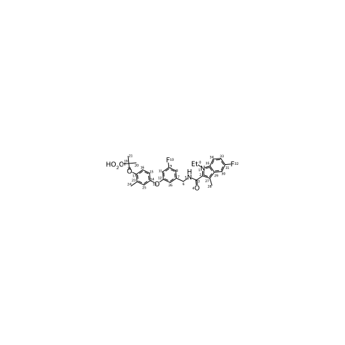 CCn1c(C(=O)NCc2cc(F)cc(Oc3ccc(OC(C)(C)C(=O)O)c(C)c3)c2)c(C)c2cc(F)ccc21